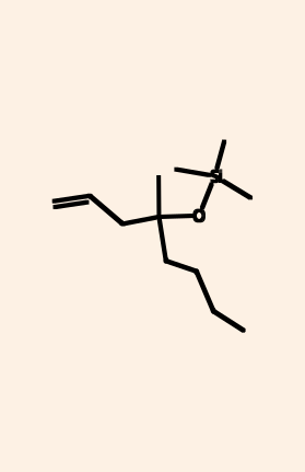 C=CCC(C)(CCCC)O[Si](C)(C)C